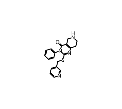 O=c1c2c(nc(SCc3cccnc3)n1-c1ccccc1)CCNC2